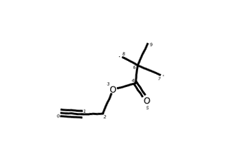 C#CCOC(=O)C([CH2])([CH2])C